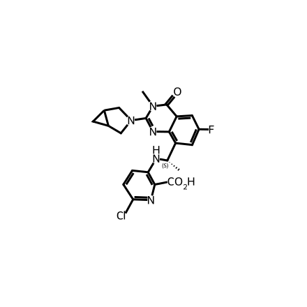 C[C@H](Nc1ccc(Cl)nc1C(=O)O)c1cc(F)cc2c(=O)n(C)c(N3CC4CC4C3)nc12